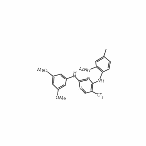 COc1cc(Nc2ncc(C(F)(F)F)c(Nc3ccc(C)cc3NC(C)=O)n2)cc(OC)c1